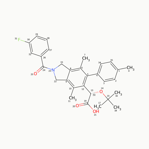 Cc1ccc(-c2c(C)c3c(c(C)c2[C@H](OC(C)(C)C)C(=O)O)CN(C(=O)c2cccc(F)c2)C3)cc1